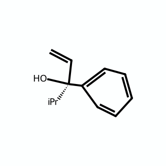 C=C[C@](O)(c1ccccc1)C(C)C